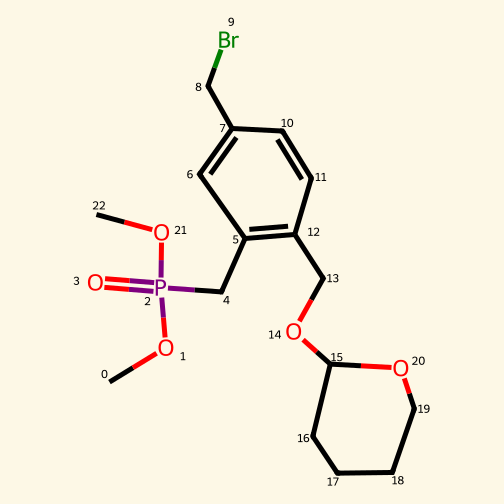 COP(=O)(Cc1cc(CBr)ccc1COC1CCCCO1)OC